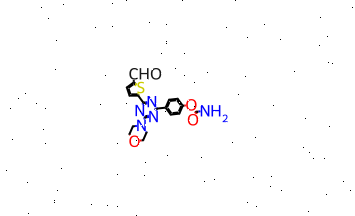 NC(=O)Oc1ccc(-c2nc(-c3ccc(C=O)s3)nc(N3CCOCC3)n2)cc1